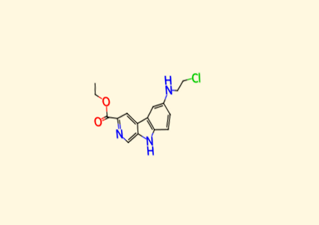 CCOC(=O)c1cc2c(cn1)[nH]c1ccc(NCCCl)cc12